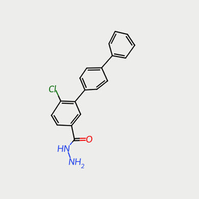 NNC(=O)c1ccc(Cl)c(-c2ccc(-c3ccccc3)cc2)c1